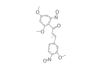 COc1cc(N=O)c(C(=O)/C=C/c2ccc(N=O)c(OC)c2)c(OC)c1